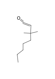 CCCCCC(C)(C)C=C=O